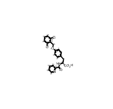 O=C(N[C@@H](Cc1ccc(OCc2c(Cl)cccc2Cl)cc1)C(=O)O)c1ccccn1